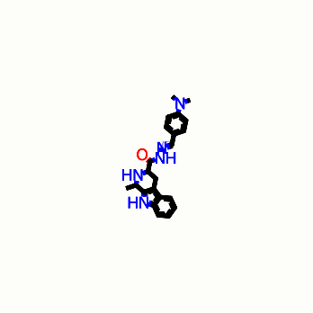 CC1NC(C(=O)N/N=C/c2ccc(N(C)C)cc2)Cc2c1[nH]c1ccccc21